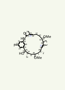 CO[C@@H]1C[C@@H](C)/C=C(\C)[C@H](C)[C@@H](OC)CC/C=C(\C)C(=O)Nc2cc(F)cc(c2)[C@H](O)[C@@H](C)C1